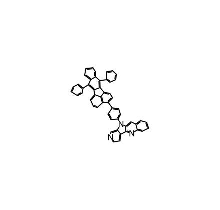 c1ccc(-c2c3c(c(-c4ccccc4)c4ccccc24)-c2ccc(-c4ccc(-n5c6cnccc6c6nc7ccccc7cc65)cc4)c4cccc-3c24)cc1